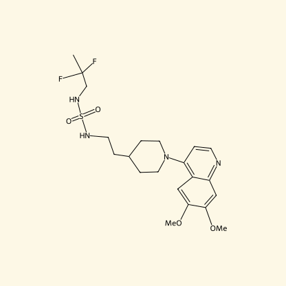 COc1cc2nccc(N3CCC(CCNS(=O)(=O)NCC(C)(F)F)CC3)c2cc1OC